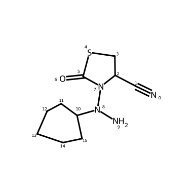 N#CC1CSC(=O)N1N(N)C1CCCCC1